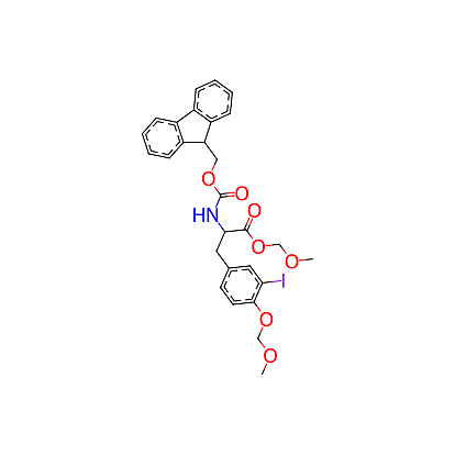 COCOC(=O)C(Cc1ccc(OCOC)c(I)c1)NC(=O)OCC1c2ccccc2-c2ccccc21